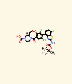 CC(C)(C)OC(=O)Nc1nc2c(-c3c(Cl)cc4c(c3Cl)OCC[C@H]3CN(C(=O)O)CCN3C4=O)ccc(F)c2s1